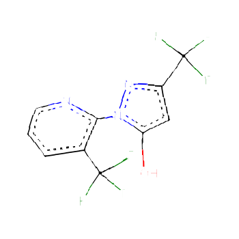 Oc1cc(C(F)(F)F)nn1-c1ncccc1C(F)(F)F